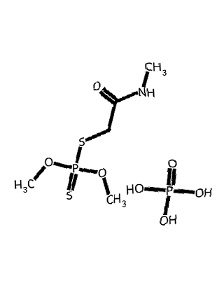 CNC(=O)CSP(=S)(OC)OC.O=P(O)(O)O